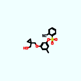 Cc1cc(OCC2(CO)CC2)cc(OS(=O)(=O)c2ccccc2C#N)c1